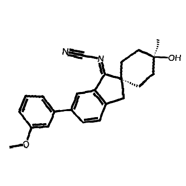 COc1cccc(-c2ccc3c(c2)/C(=N\C#N)[C@]2(CC[C@](C)(O)CC2)C3)c1